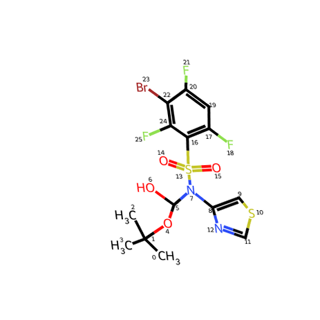 CC(C)(C)OC(O)N(c1cscn1)S(=O)(=O)c1c(F)cc(F)c(Br)c1F